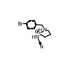 N#CN[SH]1(=O)CCCN1Cc1ccc(Br)cc1